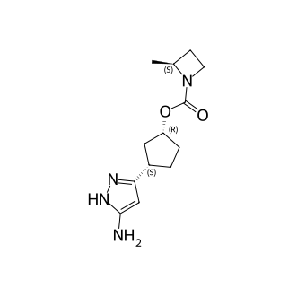 C[C@H]1CCN1C(=O)O[C@@H]1CC[C@H](c2cc(N)[nH]n2)C1